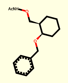 CC(=O)NOC[C@H]1CCCC[C@H]1OCc1ccccc1